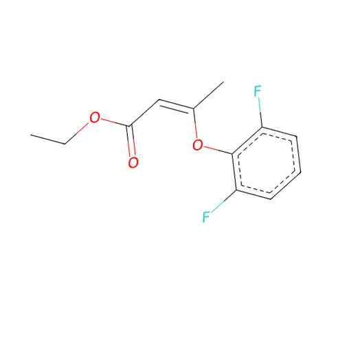 CCOC(=O)/C=C(/C)Oc1c(F)cccc1F